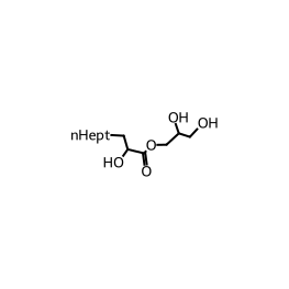 CCCCCCCCC(O)C(=O)OCC(O)CO